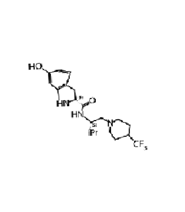 CC(C)[C@@H](CN1CCC(C(F)(F)F)CC1)NC(=O)[C@H]1Cc2ccc(O)cc2CN1